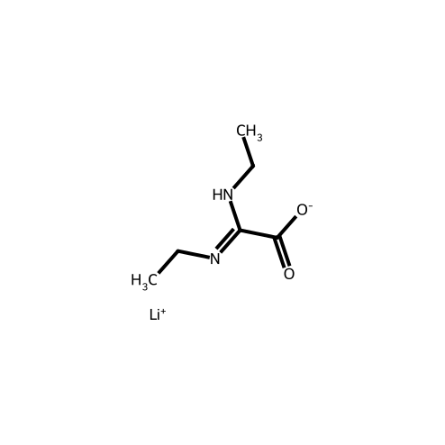 CCN=C(NCC)C(=O)[O-].[Li+]